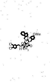 COc1ccc(C[C@H]2C(=O)N(Cc3cccc4ccccc34)C[C@H]3N2C(=O)CN3N(C)C(=O)NCC2=CC(Cl)C(Cl)C=C2)cc1